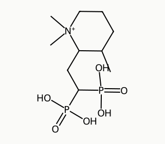 CC1CCC[N+](C)(C)C1CC(P(=O)(O)O)P(=O)(O)O